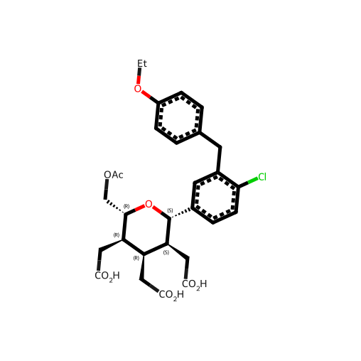 CCOc1ccc(Cc2cc([C@H]3O[C@@H](COC(C)=O)[C@H](CC(=O)O)[C@H](CC(=O)O)[C@@H]3CC(=O)O)ccc2Cl)cc1